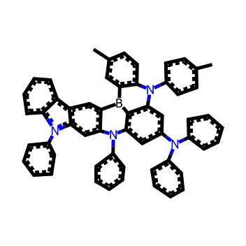 Cc1ccc(N2c3ccc(C)cc3B3c4cc5c6ccccc6n(-c6ccccc6)c5cc4N(c4ccccc4)c4cc(N(c5ccccc5)c5ccccc5)cc2c43)cc1